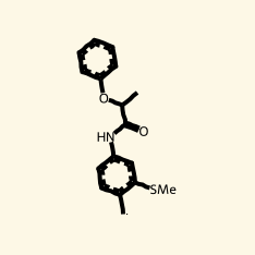 [CH2]c1ccc(NC(=O)C(C)Oc2ccccc2)cc1SC